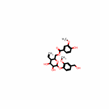 C=CC1C(COC(=O)c2ccc(O)c(OC)c2)OC(Oc2ccc(CO)cc2OC)C(O)C1O